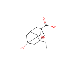 CCC12CC3CC(O)(C1)C(O)C(C(=O)O)(C3)C2